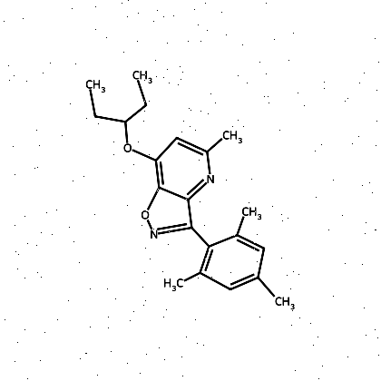 CCC(CC)Oc1cc(C)nc2c(-c3c(C)cc(C)cc3C)noc12